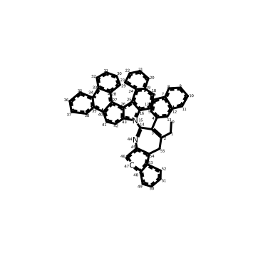 CCC1=C(c2ccc3ccccc3c2)C(n2c3ccc4ccccc4c3c3c4c5ccccc5c5ccccc5c4ccc32)=Nc2ccc3ccccc3c2C1